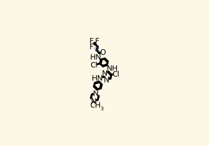 CN1CCN(c2ccc(Nc3ncc(Cl)c(Nc4ccc(NC(=O)/C=C/C(F)(F)F)c(Cl)c4)n3)cc2)CC1